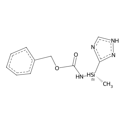 C[Si@H](NC(=O)OCc1ccccc1)c1nc[nH]n1